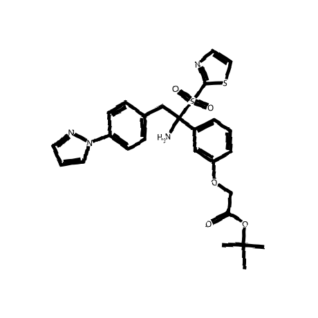 CC(C)(C)OC(=O)COc1cccc(C(N)(Cc2ccc(-n3cccn3)cc2)S(=O)(=O)c2nccs2)c1